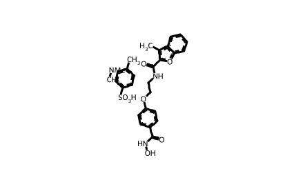 CNC.Cc1c(C(=O)NCCOc2ccc(C(=O)NO)cc2)oc2ccccc12.Cc1ccc(S(=O)(=O)O)cc1